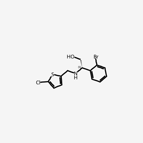 OC[C@@H](NCc1ccc(Cl)s1)c1ccccc1Br